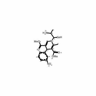 COC(=O)C1=CN(C([SeH])C(C)N)C(C)=C(C(=O)OC)C1c1cccc([N+](=O)[O-])c1